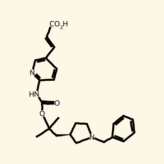 CC(C)(C[C@H]1CCN(Cc2ccccc2)C1)OC(=O)Nc1ccc(/C=C/C(=O)O)cn1